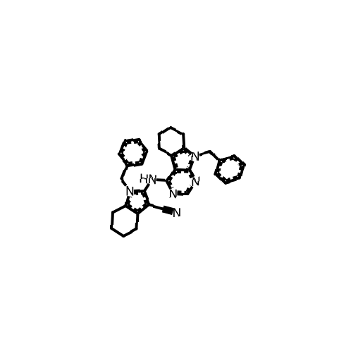 N#Cc1c2c(n(Cc3ccccc3)c1Nc1ncnc3c1c1c(n3Cc3ccccc3)CCCC1)CCCC2